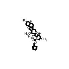 CC1=C2CC3[C@@H](CC[C@@H]4C[C@@H](O)CC[C@]34C)C2CC[C@@]2(C1)O[C@@H]1C[C@H](C)CN(C(=O)OCc3ccccc3)C1[C@H]2C